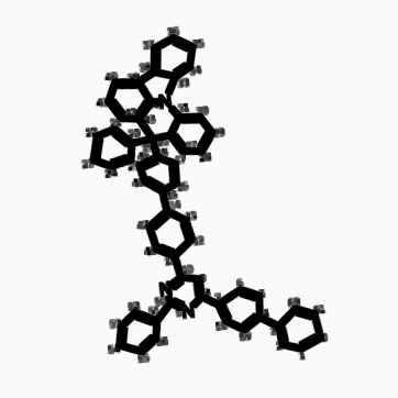 c1ccc(-c2ccc(-c3cc(-c4ccc(-c5ccc(C6(c7ccccc7)c7ccccc7-n7c8ccccc8c8cccc6c87)cc5)cc4)nc(-c4ccccc4)n3)cc2)cc1